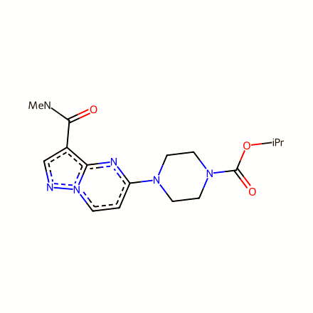 CNC(=O)c1cnn2ccc(N3CCN(C(=O)OC(C)C)CC3)nc12